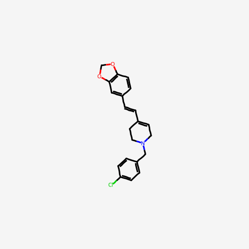 Clc1ccc(CN2CC=C(/C=C/c3ccc4c(c3)OCO4)CC2)cc1